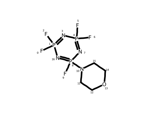 FP1(F)=NP(F)(F)=NP(F)(N2CCOCC2)=N1